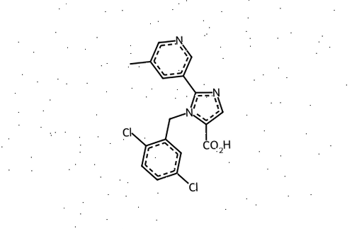 Cc1cncc(-c2ncc(C(=O)O)n2Cc2cc(Cl)ccc2Cl)c1